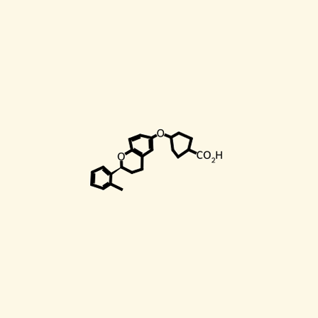 Cc1ccccc1[C@@H]1CCc2cc(OC3CCC(C(=O)O)CC3)ccc2O1